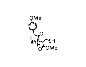 COC(=O)[C@H](CS)NC(=O)[C@H](CC(C)C)c1ccc(OC)cc1